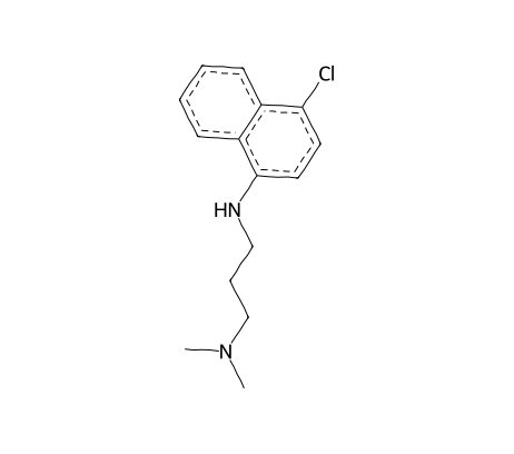 CN(C)CCCNc1ccc(Cl)c2ccccc12